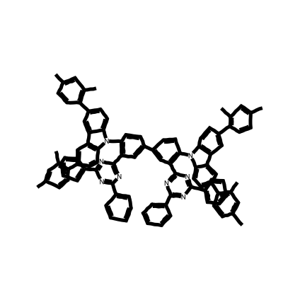 Cc1ccc(-c2ccc3c(c2)c2cc(-c4ccc(C)cc4C)ccc2n3-c2ccc(-c3ccc(-n4c5ccc(-c6ccc(C)cc6C)cc5c5cc(-c6ccc(C)cc6C)ccc54)c(-c4nc(-c5ccccc5)nc(-c5ccccc5)n4)c3)cc2-c2nc(-c3ccccc3)nc(-c3ccccc3)n2)c(C)c1